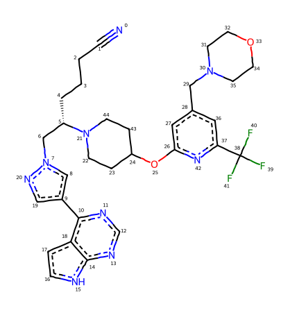 N#CCCC[C@@H](Cn1cc(-c2ncnc3[nH]ccc23)cn1)N1CCC(Oc2cc(CN3CCOCC3)cc(C(F)(F)F)n2)CC1